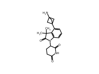 CC1(C)C(=O)N(C2CCC(=O)NC2=O)c2cccc(C34CC(N)(C3)C4)c21